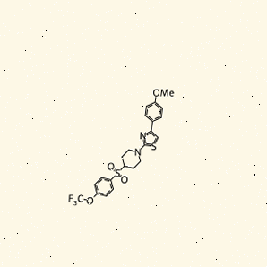 COc1ccc(-c2csc(N3CCC(S(=O)(=O)c4ccc(OC(F)(F)F)cc4)CC3)n2)cc1